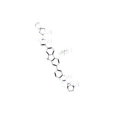 Cl.Cl.Cl.Cl.FC1(F)c2cc(-c3ccc4nc([C@H]5N[C@@H]6CC[C@@H]5C6)[nH]c4c3)ccc2-c2ccc(-c3cnc([C@@H]4CC5(CN4)OCCO5)[nH]3)cc21